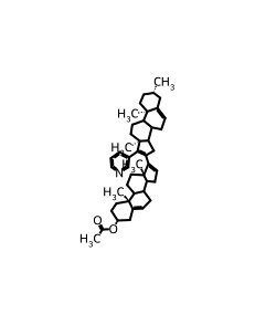 CC(=O)O[C@H]1CC[C@@]2(C)C(=CCC3C2CC[C@]2(C)C(C4=C(c5cccnc5)[C@@]5(C)CCC6C(CC=C7C[C@@H](C)CC[C@@]76C)C5C4)=CCC32)C1